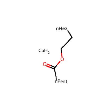 CCCCCCCCOC(=O)CCCCC.[CaH2]